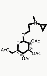 CC(=O)OC[C@H]1OC(OCCN(C)C2CC2)[C@H](OC(C)=O)[C@@H](OC(C)=O)[C@@H]1OC(C)=O